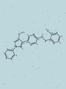 CCc1cn(-c2ccccc2)nc1-c1ccc(OCc2ccccc2F)cc1